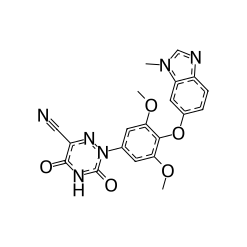 COc1cc(-n2nc(C#N)c(=O)[nH]c2=O)cc(OC)c1Oc1ccc2ncn(C)c2c1